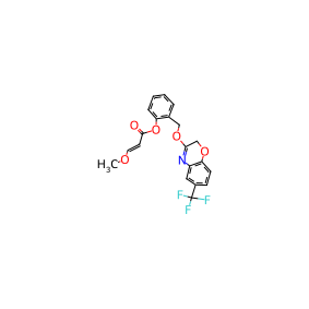 COC=CC(=O)Oc1ccccc1COC1=Nc2cc(C(F)(F)F)ccc2OC1